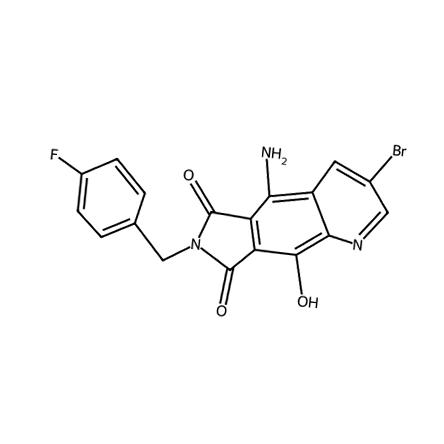 Nc1c2c(c(O)c3ncc(Br)cc13)C(=O)N(Cc1ccc(F)cc1)C2=O